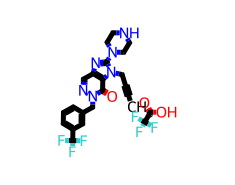 CC#CCn1c(N2CCNCC2)nc2cnn(Cc3cccc(C(F)(F)F)c3)c(=O)c21.O=C(O)C(F)(F)F